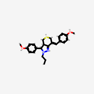 CCCN1N=C2C(=Cc3ccc(OC)cc3)CSCC2C1c1ccc(OC)cc1